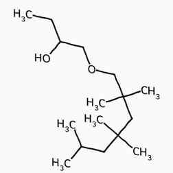 CCC(O)COCC(C)(C)CC(C)(C)CC(C)C